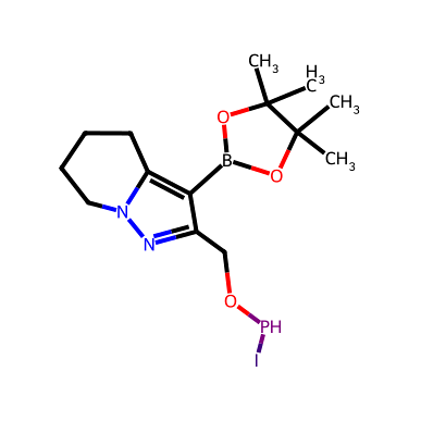 CC1(C)OB(c2c(COPI)nn3c2CCCC3)OC1(C)C